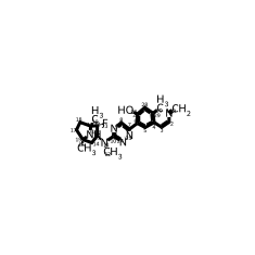 C=N/C=C\c1cc(-c2cnc(N(C)[C@H]3C[C@]4(C)CC[C@@](C)(N4)[C@@H]3F)nn2)c(O)cc1C